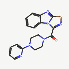 O=C(c1nsc2nc3ccccc3n12)N1CCN(c2ccccn2)CC1